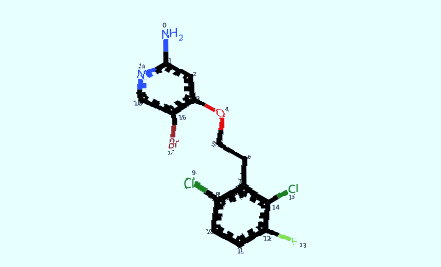 Nc1cc(OCCc2c(Cl)ccc(F)c2Cl)c(Br)cn1